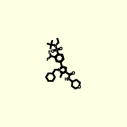 CCN(C(C)(C)C)S(=O)(=O)c1ccc(-c2cc(C(=O)NC3CCOCC3)c(C)n2CC2CCCCC2)cc1C(F)F